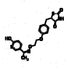 C/C(=N/OCCOc1ccc(CC2SC(=O)NC2=O)cc1)c1ccc(O)nc1